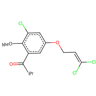 COc1c(Cl)cc(OCC=C(Cl)Cl)cc1C(=O)C(C)C